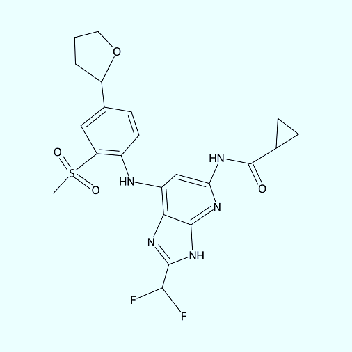 CS(=O)(=O)c1cc(C2CCCO2)ccc1Nc1cc(NC(=O)C2CC2)nc2[nH]c(C(F)F)nc12